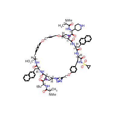 CN[C@@H](C)C(=O)N[C@H](C(=O)N1C[C@@H]2C[C@H]1C(=O)N[C@@H](Cc1ccc3ccccc3c1)C(=O)N[C@H](C(=O)NS(=O)(=O)C1CC1)Cc1ccc(cc1)OCc1cn(nn1)[C@H]1C[C@@H](C(=O)N[C@@H](Cc3ccc4ccccc4c3)C(=O)N[C@H](C(=O)O)Cc3ccc(cc3)OC/C=C/CO2)N(C(=O)[C@@H](NC(=O)[C@H](C)NC)C(C)(C)C)C1)C1CCNCC1